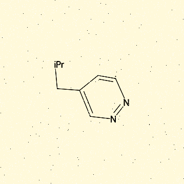 CC(C)Cc1c[c]nnc1